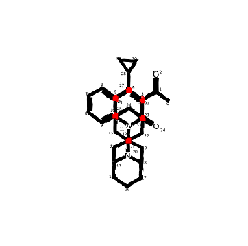 CC(=O)c1nc2ccccc2n(C2CC3CCCC(C2)N3C2CC3CC(CC(C4CC4)C3)C2)c1=O